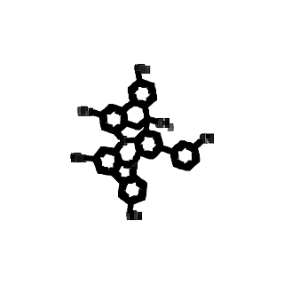 CC(C)(C)c1ccc2c(c1)-c1cc(C(C)(C)C)cc3c1CC2(C)c1cc(-c2cccc(C#N)c2)cc2c1B3c1cc(C(C)(C)C)cc3c4cc(C(C)(C)C)ccc4n-2c13